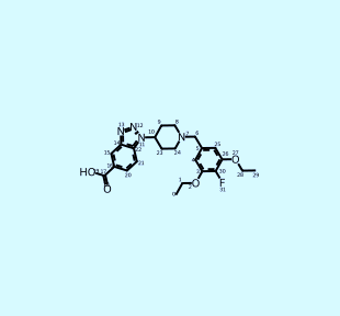 CCOc1cc(CN2CCC(n3nnc4cc(C(=O)O)ccc43)CC2)cc(OCC)c1F